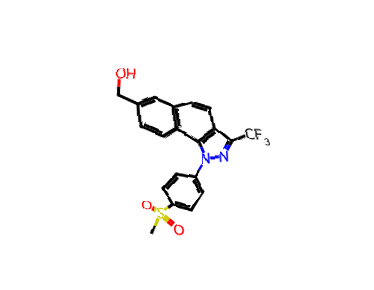 CS(=O)(=O)c1ccc(-n2nc(C(F)(F)F)c3ccc4cc(CO)ccc4c32)cc1